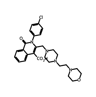 O=C(O)c1c(CN2CCN(CCN3CCOCC3)CC2)n(-c2ccc(Cl)cc2)c(=O)c2ccccc12